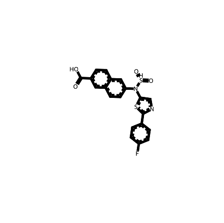 O=C(O)c1ccc2cc(N(c3cnc(-c4ccc(F)cc4)s3)[SH](=O)=O)ccc2c1